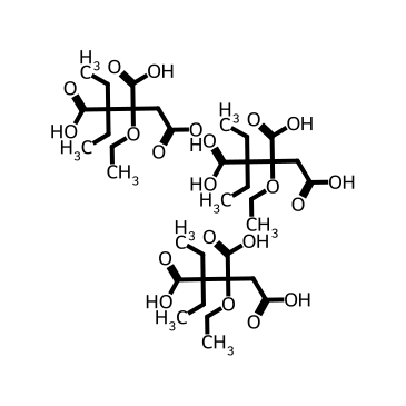 CCOC(CC(=O)O)(C(=O)O)C(CC)(CC)C(=O)O.CCOC(CC(=O)O)(C(=O)O)C(CC)(CC)C(=O)O.CCOC(CC(=O)O)(C(=O)O)C(CC)(CC)C(=O)O